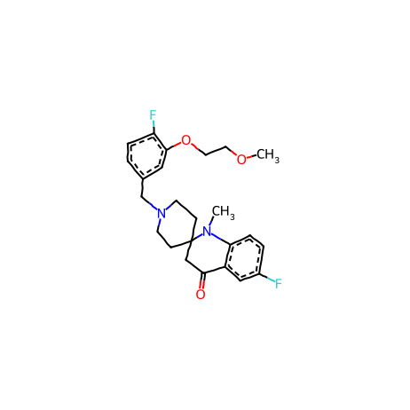 COCCOc1cc(CN2CCC3(CC2)CC(=O)c2cc(F)ccc2N3C)ccc1F